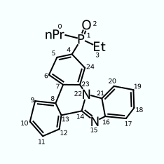 CCCP(=O)(CC)c1ccc2c3ccccc3c3nc4ccccc4n3c2c1